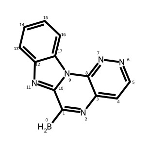 Bc1nc2ccnnc2n2c1nc1ccccc12